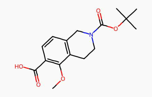 COc1c(C(=O)O)ccc2c1CCN(C(=O)OC(C)(C)C)C2